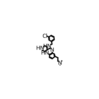 CN(C)CCc1ccc2c(c1)N=C(NCc1cccc(Cl)c1)C1(CCNCC1)N2